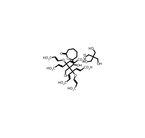 O=C(O)C=COC(C=CC(=O)O)(C=CC(=O)O)C(CO)(C(O)C1CCCCC(=O)O1)C(C=CC(=O)O)(C=CC(=O)O)OC=CC(=O)O.OCC(CO)(CO)CO